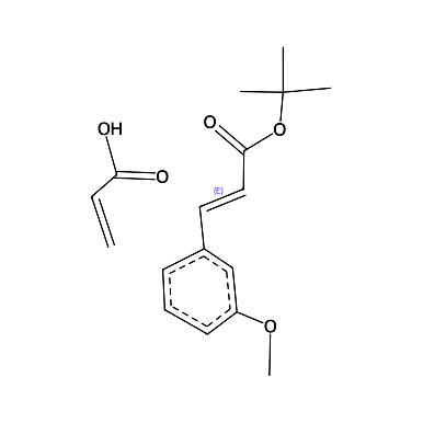 C=CC(=O)O.COc1cccc(/C=C/C(=O)OC(C)(C)C)c1